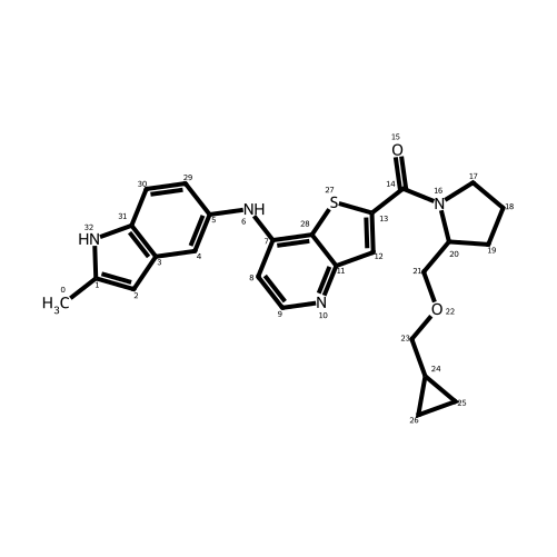 Cc1cc2cc(Nc3ccnc4cc(C(=O)N5CCCC5COCC5CC5)sc34)ccc2[nH]1